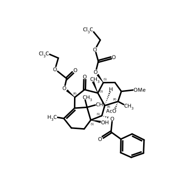 COC1C[C@H](OC(=O)OCC(Cl)(Cl)Cl)[C@@]2(C)C(=O)[C@H](OC(=O)OCC(Cl)(Cl)Cl)C3=C(C)CC[C@@](O)([C@@H](OC(=O)c4ccccc4)[C@@H]2[C@@]1(C)OC(C)=O)C3(C)C